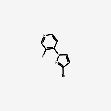 Fc1cnccc1-n1ccc(Br)n1